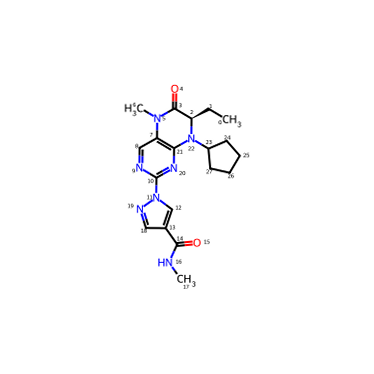 CC[C@@H]1C(=O)N(C)c2cnc(-n3cc(C(=O)NC)cn3)nc2N1C1CCCC1